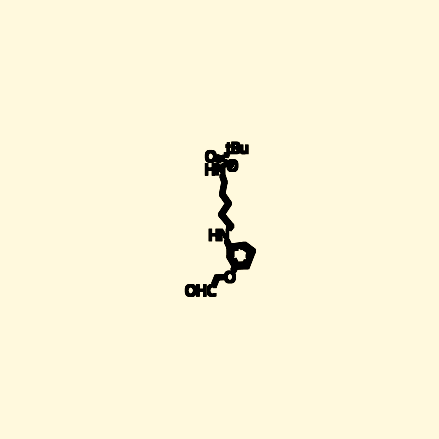 CC(C)(C)S(=O)(=O)NCCCCCNc1cccc(OCC=O)c1